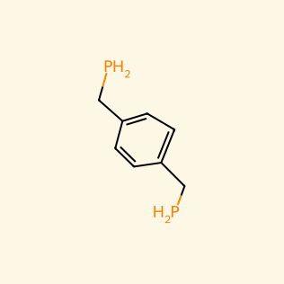 PCc1ccc(CP)cc1